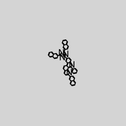 c1ccc(-c2nc3ccc(-c4nc(-c5ccc6ccccc6c5)nc(-c5ccc6ccccc6c5)n4)cc3c3ccc4ccc(-c5ccc6ccccc6c5)nc4c23)cc1